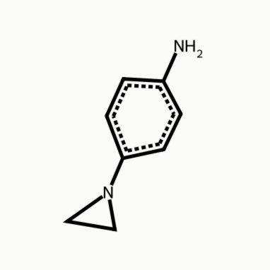 Nc1ccc(N2CC2)cc1